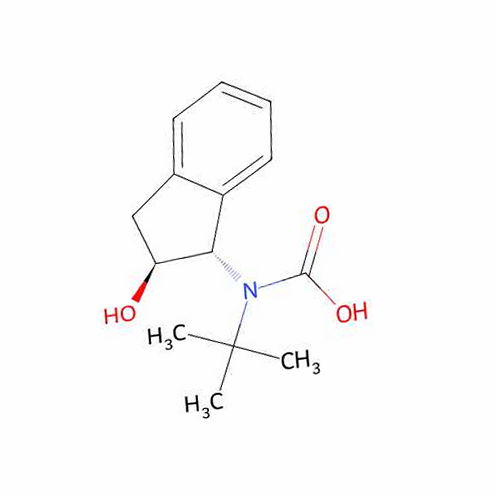 CC(C)(C)N(C(=O)O)[C@H]1c2ccccc2C[C@@H]1O